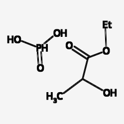 CCOC(=O)C(C)O.O=[PH](O)O